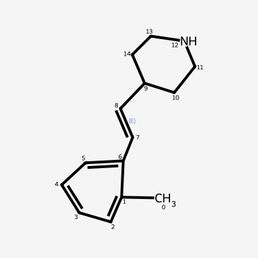 Cc1ccccc1/C=C/C1CCNCC1